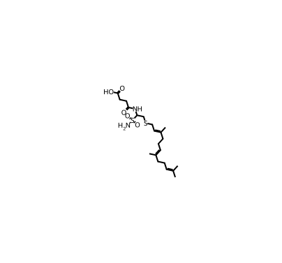 CC(C)=CCCC(C)=CCCC(C)=CCSCC(NC(=O)CCC(=O)O)S(N)(=O)=O